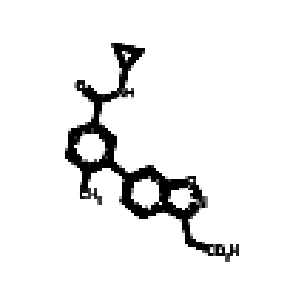 Cc1ccc(C(=O)NC2CC2)cc1-c1ccc2c(CC(=O)O)noc2c1